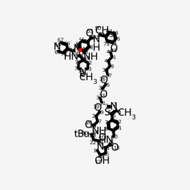 Cc1ncsc1-c1ccc(CNC(=O)C2C[C@@H](O)CN2C(=O)C[C@@H](NC(=O)CCCOCCOCCOCCCCCCOc2cccc([C@H](C)NC(=O)c3cccc(NC4(c5nnc(-c6ccncc6)[nH]5)CCN(C)CC4)c3)c2)C(C)(C)C)cc1